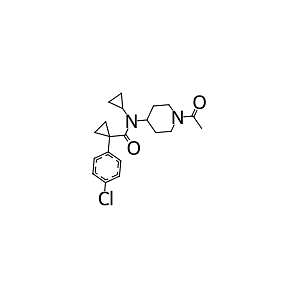 CC(=O)N1CCC(N(C(=O)C2(c3ccc(Cl)cc3)CC2)C2CC2)CC1